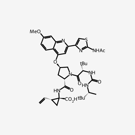 C=C[C@H]1C[C@]1(NC(=O)[C@@H]1C[C@@H](Oc2cc(-c3csc(NC(C)=O)n3)nc3cc(OC)ccc23)CN1C(=O)[C@@H](NC(=O)N[C@H](C)C(C)(C)C)C(C)(C)C)C(=O)O